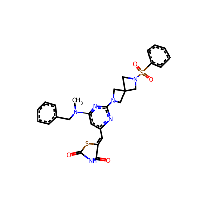 CN(Cc1ccccc1)c1cc(/C=C2\SC(=O)NC2=O)nc(N2CC3(C2)CN(S(=O)(=O)c2ccccc2)C3)n1